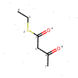 CCSC(=O)CC(C)=O